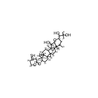 C[C@@H]1CC(C(O)C(C)(C)O)OC2[C@H]1C1(C)CCC34CC35CCC(O[C@H]3CN(S)CCO3)C(C)(C)[C@@H]5CCC4[C@]1(C)[C@H]2O